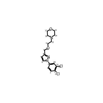 Clc1ccc(-n2ccc(COCCN3CCOCC3)n2)cc1Cl